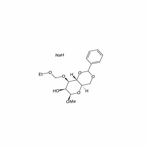 CCOCO[C@@H]1[C@H](O)[C@H](OC)O[C@@H]2COC(c3ccccc3)O[C@@H]12.[NaH]